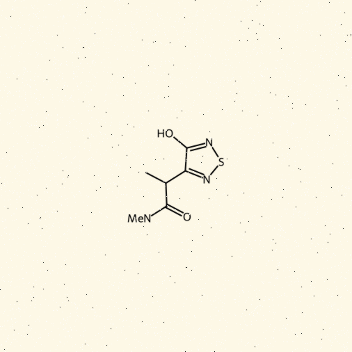 CNC(=O)C(C)c1nsnc1O